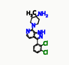 CC1(N)CCN(c2nccc3c(-c4cccc(Cl)c4Cl)n[nH]c23)CC1